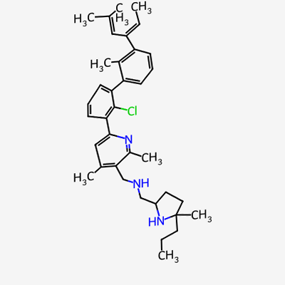 C/C=C(\C=C(C)C)c1cccc(-c2cccc(-c3cc(C)c(CNCC4CCC(C)(CCC)N4)c(C)n3)c2Cl)c1C